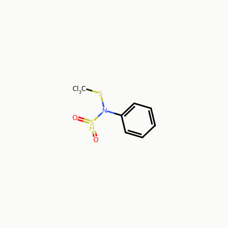 O=[SH](=O)N(SC(Cl)(Cl)Cl)c1ccccc1